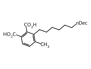 CCCCCCCCCCCCCCCCc1c(C)ccc(C(=O)O)c1C(=O)O